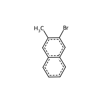 Cc1cc2ccccc2cc1Br